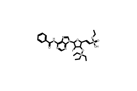 CCOP(=O)(O)C=CC1OC(n2cnc3c(NC(=O)c4ccccc4)ncnc32)C(F)C1O[Si](CC)(CC)CC